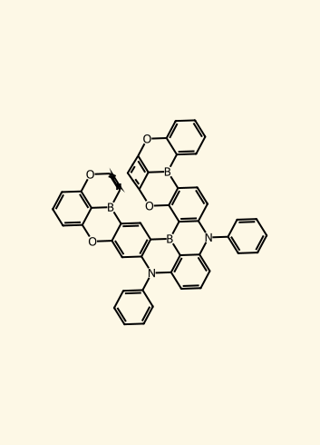 c1ccc(N2c3cc4c(cc3B3c5c2cccc5N(c2ccccc2)c2ccc5c(c23)Oc2cccc3c2B5c2ccccc2O3)B2c3ccccc3Oc3cccc(c32)O4)cc1